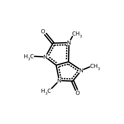 Cn1c(=O)n(C)c2c1n(C)c(=O)n2C